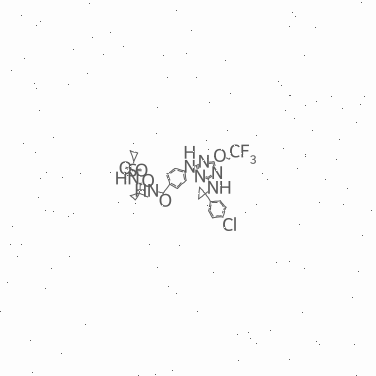 O=C(NCC1(C(=O)NS(=O)(=O)C2CC2)CC1)c1ccc(Nc2nc(NC3(c4ccc(Cl)cc4)CC3)nc(OCC(F)(F)F)n2)cc1